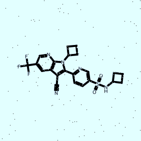 N#Cc1c(-c2ccc(S(=O)(=O)NC3CCC3)cn2)n(C2CCC2)c2ncc(C(F)(F)F)cc12